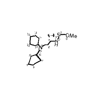 CO[SiH2]NCCN(C1CCCC1)C1CCCC1